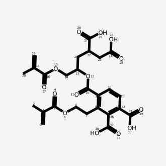 C=C(C)C(=O)OCCc1c(C(=O)OC(COC(=O)C(=C)C)CC(CC(=O)O)C(=O)O)ccc(C(=O)O)c1C(=O)O